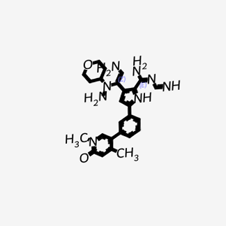 Cc1cc(=O)n(C)cc1-c1cccc(-c2cc(/C(=C/N)N(N)C3CCOCC3)c(/C(N)=N\C=N)[nH]2)c1